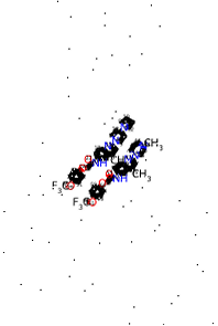 Cc1cc(N2CCC(N3CCCC3)CC2)nc2ccc(NC(=O)COc3ccc(OC(F)(F)F)cc3)cc12.Cc1cc(N2CCCN(C)CC2)nc2ccc(NC(=O)COc3ccc(OC(F)(F)F)cc3)cc12